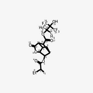 CCC(I)C(=O)OC1C2CC3C1OC(=O)C3C2C(=O)OC(C)(C)C(O)(C(F)(F)F)C(F)(F)F